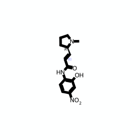 CN1CCC[C@@H]1/C=C/C(=O)Nc1ccc([N+](=O)[O-])cc1O